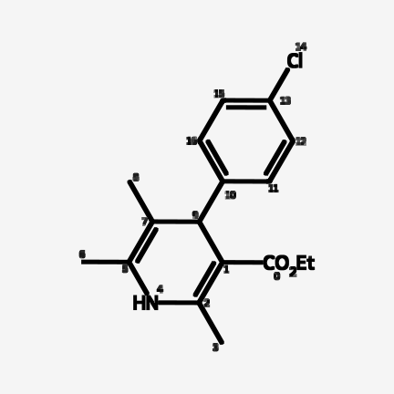 CCOC(=O)C1=C(C)NC(C)=C(C)C1c1ccc(Cl)cc1